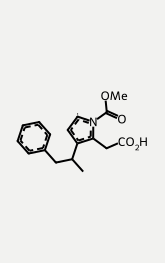 COC(=O)n1[c]cc(C(C)Cc2ccccc2)c1CC(=O)O